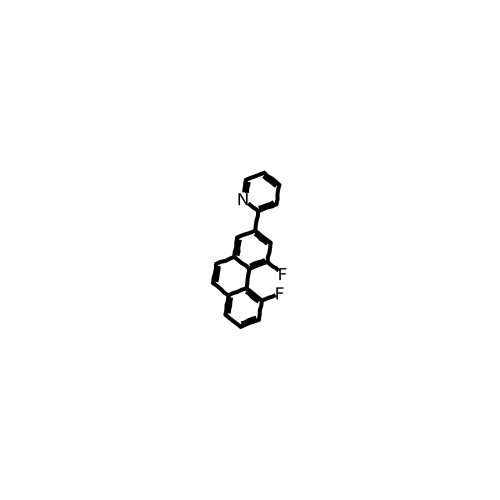 Fc1cccc2ccc3cc(-c4ccccn4)cc(F)c3c12